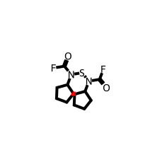 O=C(F)N(SN(C(=O)F)C1CCCC1)C1CCCC1